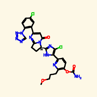 COCCCc1nc(-c2[nH]c([C@@H]3CCc4nc(-c5cc(Cl)ccc5-n5cnnn5)cc(=O)n43)nc2Cl)ccc1OC(N)=O